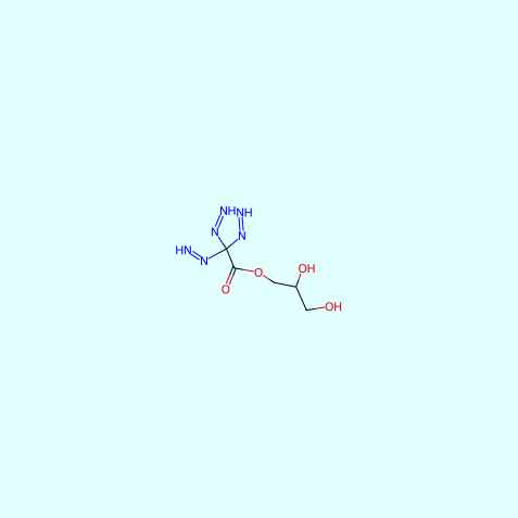 N=NC(N=N)(N=N)C(=O)OCC(O)CO